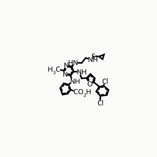 Cc1nc(NCCNSC2CC2)c(NCc2ccc(-c3cc(Cl)ccc3Cl)o2)c(Nc2ccccc2C(=O)O)n1